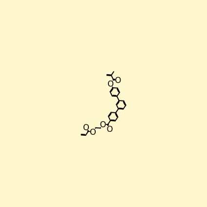 C=CC(=O)OCCOC(=O)c1ccc(-c2cccc(-c3ccc(OC(=O)C(=C)C)cc3)c2)cc1